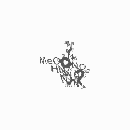 COc1cc(N(C)CCN(C)C)c([N+](=O)[O-])cc1Nc1nccc(-c2nc(C)c3ccccn23)n1